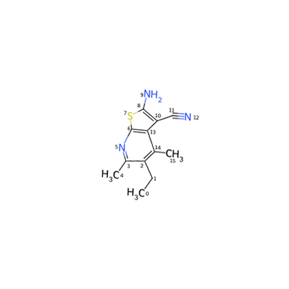 CCc1c(C)nc2sc(N)c(C#N)c2c1C